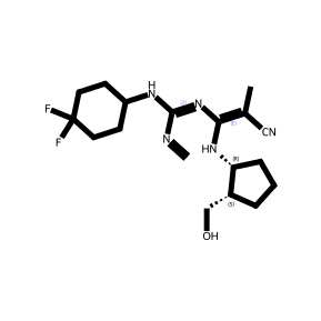 C=N/C(=N\C(N[C@@H]1CCC[C@@H]1CO)=C(/C)C#N)NC1CCC(F)(F)CC1